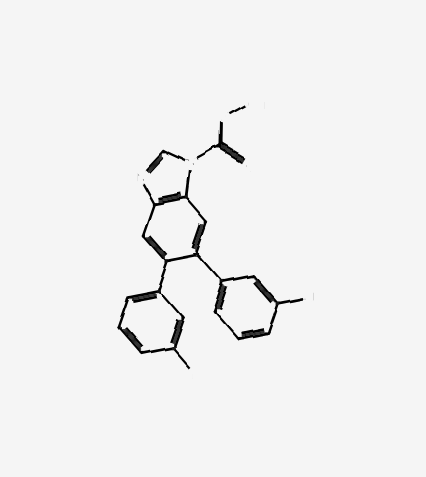 COC(=O)n1cnc2cc(-c3cccc(Cl)c3)c(-c3cccc(Cl)c3)cc21